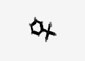 O=S(=O)(Cl)c1ccnnc1